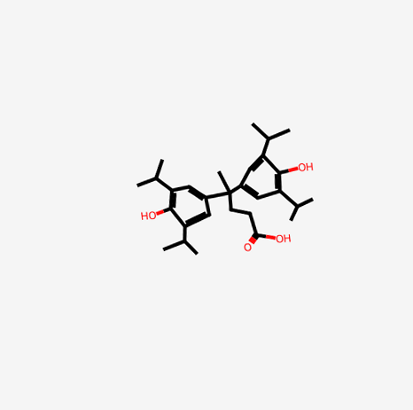 CC(C)c1cc(C(C)(CCC(=O)O)c2cc(C(C)C)c(O)c(C(C)C)c2)cc(C(C)C)c1O